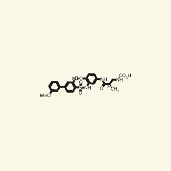 COc1cccc(-c2ccc(S(=O)(=O)Nc3cc(NC(=O)[C@@H](C)CNC(=O)O)ccc3OC)c(Cl)c2)c1